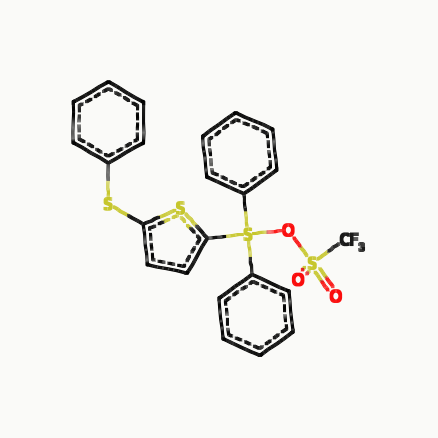 O=S(=O)(OS(c1ccccc1)(c1ccccc1)c1ccc(Sc2ccccc2)s1)C(F)(F)F